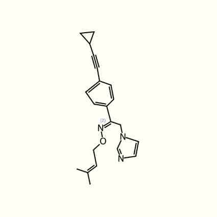 CC(C)=CCO/N=C(\Cn1ccnc1)c1ccc(C#CC2CC2)cc1